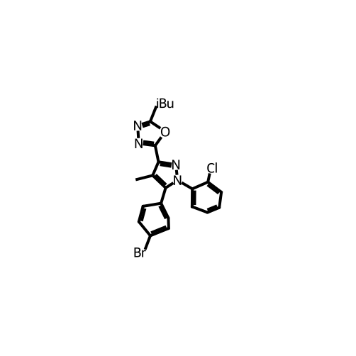 CCC(C)c1nnc(-c2nn(-c3ccccc3Cl)c(-c3ccc(Br)cc3)c2C)o1